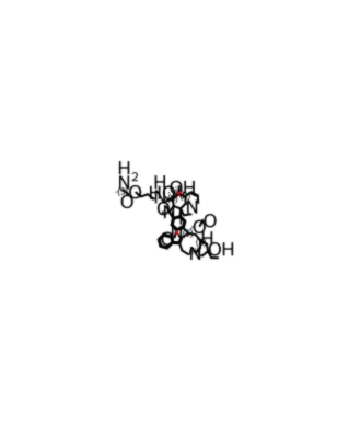 CCC1(O)C[C@H]2C[N@](CCc3c([nH]c4ccccc34)[C@@](COC=O)(c3cc4c(cc3C=O)N(C)C3C45CCN4CC=C[C@](CC)(C45)[C@@H](O)[C@]3(O)C(=O)NCCCOC(=O)[C@H](C)N)C2)C1